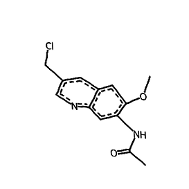 COc1cc2cc(CCl)cnc2cc1NC(C)=O